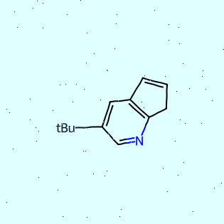 CC(C)(C)c1cnc2c(c1)C=CC2